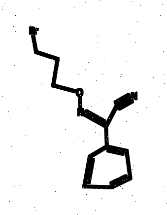 N#CC(=NOCCCBr)c1ccccc1